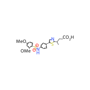 COc1ccc(S(=O)(=O)Nc2ccc(-c3cnc(C(C)CCC(=O)O)s3)cc2)c(OC)c1